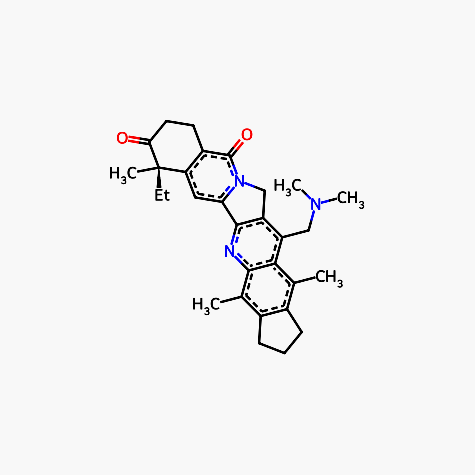 CC[C@@]1(C)C(=O)CCc2c1cc1n(c2=O)Cc2c-1nc1c(C)c3c(c(C)c1c2CN(C)C)CCC3